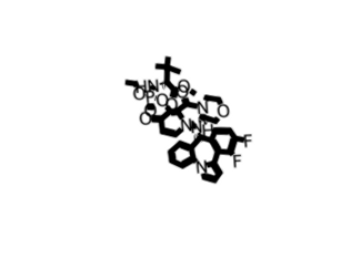 CCOP(=O)(N[C@@H](C(=O)OC)C(C)(C)C)Oc1c2n(ccc1=O)N([C@@H]1c3ccccc3-n3cccc3-c3c1ccc(F)c3F)[C@@H]1COCCN1C2=O